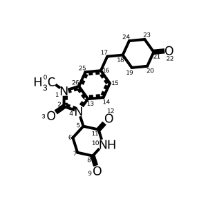 Cn1c(=O)n(C2CCC(=O)NC2=O)c2ccc(CC3CCC(=O)CC3)cc21